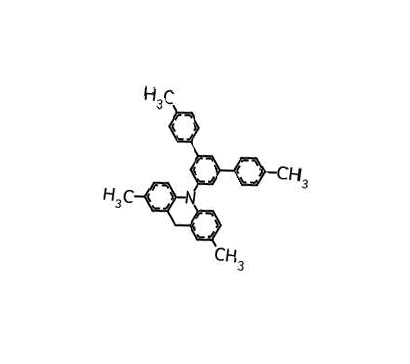 Cc1ccc(-c2cc(-c3ccc(C)cc3)cc(N3c4ccc(C)cc4Cc4cc(C)ccc43)c2)cc1